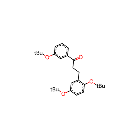 CC(C)(C)Oc1cccc(C(=O)CCc2cc(OC(C)(C)C)ccc2OC(C)(C)C)c1